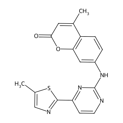 Cc1cnc(-c2ccnc(Nc3ccc4c(C)cc(=O)oc4c3)n2)s1